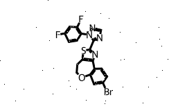 Fc1ccc(-n2ncnc2-c2nc3c(s2)CCOc2cc(Br)ccc2-3)c(F)c1